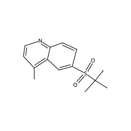 Cc1ccnc2ccc(S(=O)(=O)C(C)(C)C)cc12